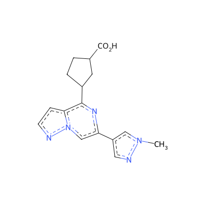 Cn1cc(-c2cn3nccc3c(C3CCC(C(=O)O)C3)n2)cn1